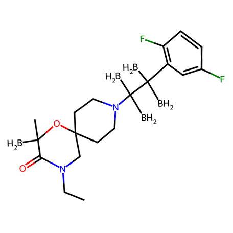 BC1(C)OC2(CCN(C(B)(B)C(B)(B)c3cc(F)ccc3F)CC2)CN(CC)C1=O